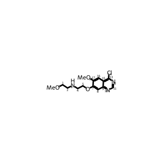 COCCNCCOc1cc2ncnc(Cl)c2cc1OC